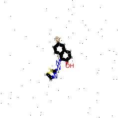 Oc1ccc2cc(Br)ccc2c1N=Nc1nccs1